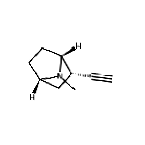 C#C[C@@H]1C[C@@H]2CC[C@H]1N2C